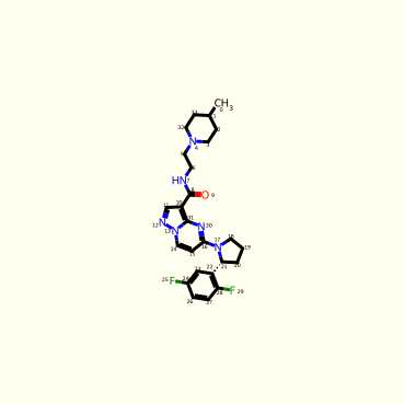 CC1CCN(CCNC(=O)c2cnn3ccc(N4CCC[C@@H]4c4cc(F)ccc4F)nc23)CC1